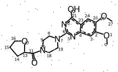 COc1cc2nc(N3CCN(C(=O)C4CCCO4)CC3)nc(O)c2cc1OC